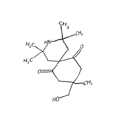 CC1(CO)CC(=O)C2(CC(C)(C)NC(C)(C)C2)C(=O)C1